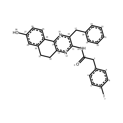 O=C(Cc1ccc(I)cc1)Nc1nc2c(nc1Cc1ccccc1)-c1ccc(O)cc1CC2